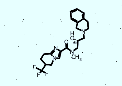 CN(C[C@H](O)CN1CCc2ccccc2C1)C(=O)c1cn2c(n1)CCC(C(F)(F)F)C2